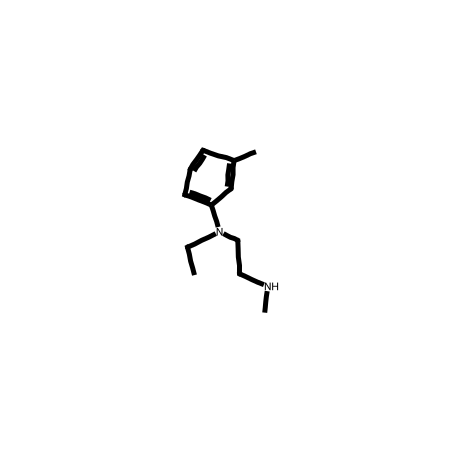 CCN(CCNC)c1cccc(C)c1